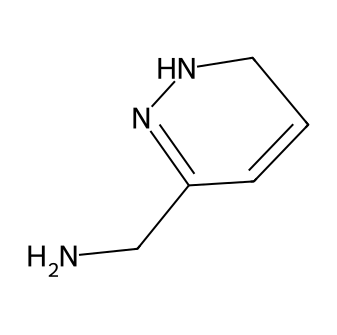 NCC1=NNCC=C1